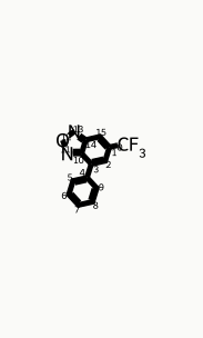 FC(F)(F)c1cc(-c2ccccc2)c2nonc2c1